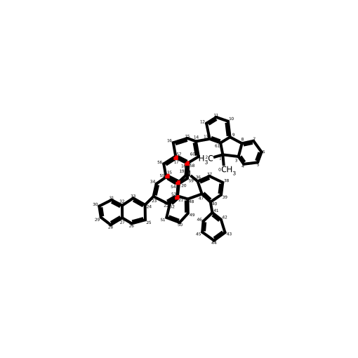 CC1(C)c2ccccc2-c2cccc(-c3cccc(N(c4ccc(-c5ccc6ccccc6c5)cc4)c4cccc(-c5ccccc5)c4-c4ccccc4-c4ccccc4)c3)c21